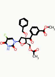 COC(=O)c1cccc(C(=O)[C@]2(OCc3ccccc3)C[C@H](n3cc(F)c(=O)[nH]c3=O)O[C@@H]2COC(C)=O)c1